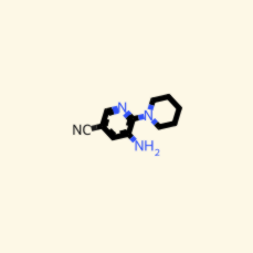 N#Cc1cnc(N2CCCCC2)c(N)c1